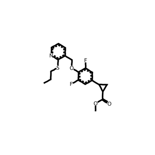 CCCSc1ncccc1COc1c(F)cc(C2CC2C(=O)OC)cc1F